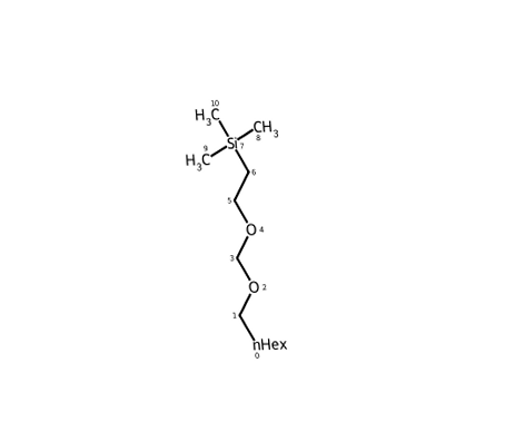 CCCCCCCOCOCC[Si](C)(C)C